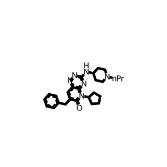 CCCN1CCC(Nc2nnc3cc(Cc4ccccc4)c(=O)n(C4CCCC4)c3n2)CC1